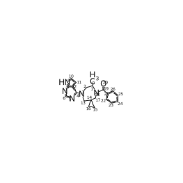 CC1CN(c2ncnc3[nH]ccc23)CC2(CC2)CN1C(=O)c1ccccc1